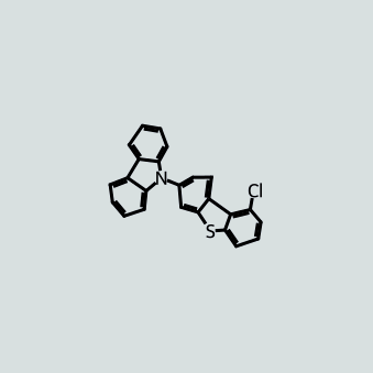 Clc1cccc2sc3cc(-n4c5ccccc5c5ccccc54)ccc3c12